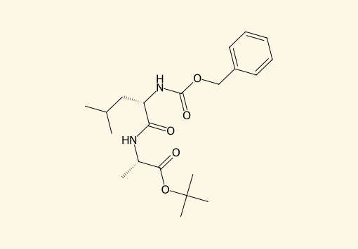 CC(C)C[C@H](NC(=O)OCc1ccccc1)C(=O)N[C@@H](C)C(=O)OC(C)(C)C